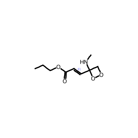 CCCOC(=O)/C=C/C1(NC)COO1